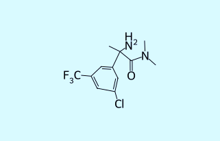 CN(C)C(=O)C(C)(N)c1cc(Cl)cc(C(F)(F)F)c1